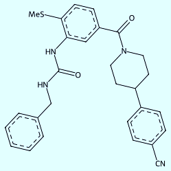 CSc1ccc(C(=O)N2CCC(c3ccc(C#N)cc3)CC2)cc1NC(=O)NCc1ccccc1